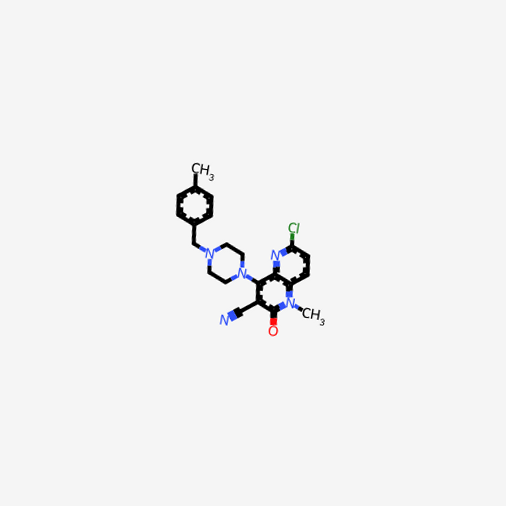 Cc1ccc(CN2CCN(c3c(C#N)c(=O)n(C)c4ccc(Cl)nc34)CC2)cc1